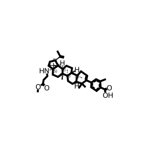 C=C(C)[C@@H]1CC[C@]2(NCCC(=O)OC)CC[C@]3(C)[C@H](CC[C@@H]4[C@@]5(C)CC=C(c6ccc(C(=O)O)c(C)c6)C(C)(C)[C@@H]5CC[C@]43C)[C@@H]12